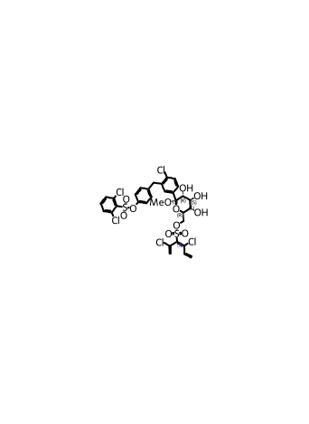 C=C/C(Cl)=C(\C(=C)Cl)S(=O)(=O)OC[C@H]1O[C@@](OC)(c2ccc(Cl)c(Cc3ccc(OS(=O)(=O)c4c(Cl)cccc4Cl)cc3)c2)[C@H](O)[C@@H](O)[C@@H]1O